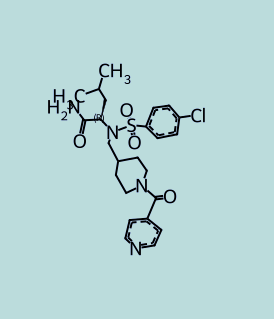 CC(C)C[C@H](C(N)=O)N(CC1CCN(C(=O)c2ccncc2)CC1)S(=O)(=O)c1ccc(Cl)cc1